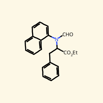 CCOC(=O)C(Cc1ccccc1)N(C=O)c1cccc2ccccc12